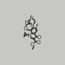 CCOC(=O)c1cn(C2CC2)c2c3c(c(F)cc2c1=O)N1CCN(C)C[C@H]1COC3